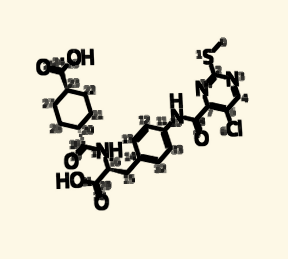 CSc1ncc(Cl)c(C(=O)Nc2ccc(C[C@H](NC(=O)[C@H]3CC[C@H](C(=O)O)CC3)C(=O)O)cc2)n1